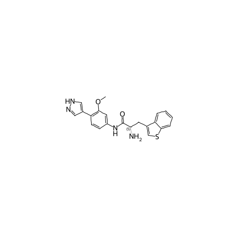 COc1cc(NC(=O)[C@@H](N)Cc2csc3ccccc23)ccc1-c1cn[nH]c1